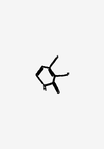 O=c1[nH]ccc(I)c1F